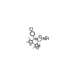 CCNC(=O)CC1N=C(c2ccc(Cl)cc2)c2c(sc(C)c2C)-c2c1noc2C